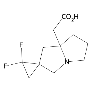 O=C(O)CC12CCCN1CC1(C2)CC1(F)F